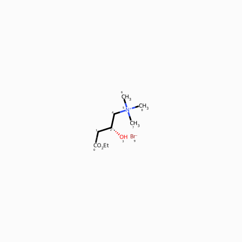 CCOC(=O)C[C@@H](O)C[N+](C)(C)C.[Br-]